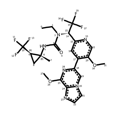 CCN(C(=O)N[C@]1(C)C[C@H]1C(F)(F)F)[C@@H](c1cc(-c2cn3ccnc3c(OC)n2)c(OC)cn1)C(F)(F)F